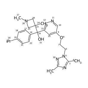 Cc1nc(C)n(CCOc2cncc(C(O)(c3ccc(C(C)C)cc3)C3(C)CN(C)C3)c2)n1